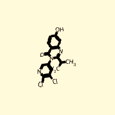 CC(C)c1nc2cc(O)ccc2c(=O)n1-c1cnc(Cl)c(Cl)c1